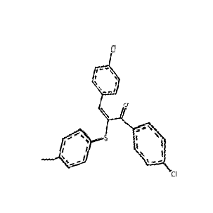 Cc1ccc(SC(=Cc2ccc(Cl)cc2)C(=O)c2ccc(Cl)cc2)cc1